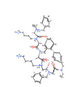 CC(=O)CN(Cc1ccccc1)C(=O)CN(Cc1ccccc1)C(=O)CN(CCCCN)C(=O)CN(Cc1ccccc1)C(=O)CN(CCCCN)C(=O)CN(Cc1ccccc1)C(C)(C)C